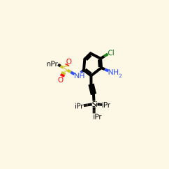 CCCS(=O)(=O)Nc1ccc(Cl)c(N)c1C#C[Si](C(C)C)(C(C)C)C(C)C